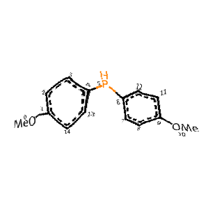 COc1ccc(Pc2ccc(OC)cc2)cc1